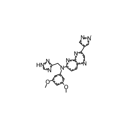 COc1cc(OC)cc(N(Cc2nc[nH]n2)c2ccc3ncc(-c4cnn(C)c4)nc3n2)c1